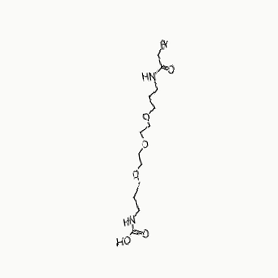 O=C(O)NCCCOCCOCCOCCCNC(=O)CBr